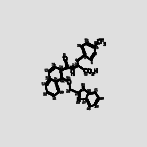 O=C(NC(Cc1ccc(C(F)(F)F)cc1)C(=O)O)c1ccc2ccccc2c1OCc1nc2ccccc2s1